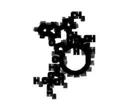 Cc1cc(-c2nc(O[C@@H]3C[C@H]4C(=O)N[C@]5(C(=O)O)C[C@H]5/C=C\CCCCC[C@H](NC(=O)OC(C)(C)C)C(=O)N4C3)c3sccc3n2)n(C)n1